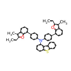 C=Cc1oc2c(-c3ccc(N(c4ccc(-c5cccc6c(C)c(C=C)oc56)cc4)c4cccc5sc6ccccc6c45)cc3)cccc2c1C